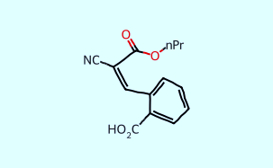 CCCOC(=O)C(C#N)=Cc1ccccc1C(=O)O